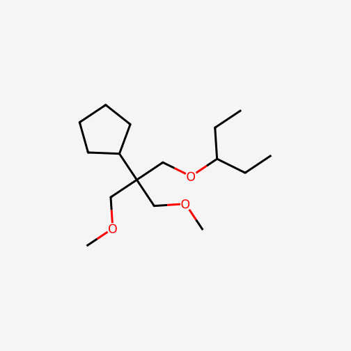 CCC(CC)OCC(COC)(COC)C1CCCC1